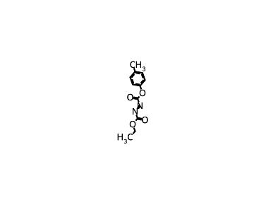 CCOC(=O)N=NC(=O)Oc1ccc(C)cc1